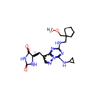 COCC1(CNc2nc(NC3CC3)n3ncc(/C=C4\NC(=O)NC4=O)c3n2)CCCC1